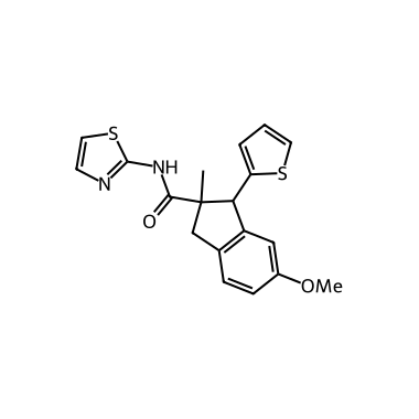 COc1ccc2c(c1)C(c1cccs1)C(C)(C(=O)Nc1nccs1)C2